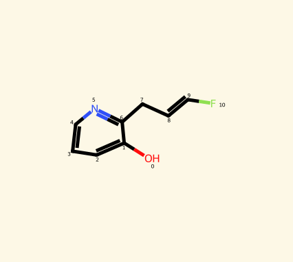 Oc1cccnc1CC=CF